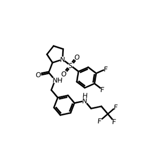 O=C(NCc1cccc(NCCC(F)(F)F)c1)C1CCCN1S(=O)(=O)c1ccc(F)c(F)c1